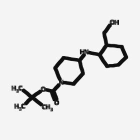 CC(C)(C)OC(=O)N1CCC(NC2CCCCC2CO)CC1